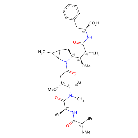 CC[C@H](C)[C@@H]([C@@H](CC(=O)N1C2C(C)C2C[C@H]1[C@H](OC)[C@@H](C)C(=O)N[C@@H](Cc1ccccc1)C(=O)O)OC)N(C)C(=O)[C@@H](NC(=O)[C@@H](NC)C(C)C)C(C)C